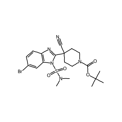 CN(C)S(=O)(=O)n1c(C2(C#N)CCN(C(=O)OC(C)(C)C)CC2)nc2ccc(Br)cc21